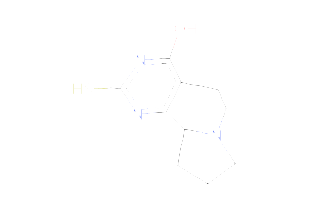 Oc1nc(S)nc2c1CCN1CCCC21